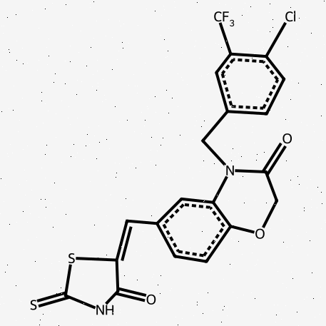 O=C1NC(=S)S/C1=C/c1ccc2c(c1)N(Cc1ccc(Cl)c(C(F)(F)F)c1)C(=O)CO2